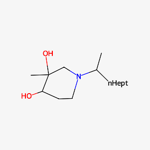 CCCCCCCC(C)N1CCC(O)C(C)(O)C1